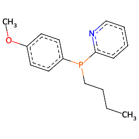 CCCCP(c1ccc(OC)cc1)c1ccccn1